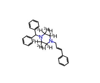 [2H]C1([2H])N(C/C=C/c2ccccc2)C([2H])([2H])C([2H])([2H])N(C(c2ccccc2)c2ccccc2)C1([2H])[2H]